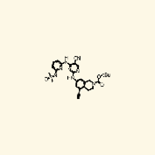 C#Cc1cc(Nc2ncc(C#N)c(Nc3cccc(N=S(C)(C)=O)n3)n2)cc2c1CCN(C(=O)OC(C)(C)C)C2